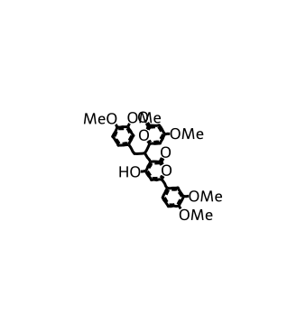 COc1cc(C(Cc2ccc(OC)c(OC)c2)c2c(O)cc(-c3ccc(OC)c(OC)c3)oc2=O)oc(=O)c1